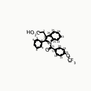 O=C(O)Cc1c(-c2ccccc2)n(C(=O)c2ccc(OC(F)(F)F)cc2)c2ccccc12